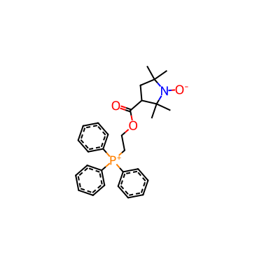 CC1(C)CC(C(=O)OCC[P+](c2ccccc2)(c2ccccc2)c2ccccc2)C(C)(C)N1[O-]